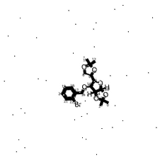 CC1(C)O[C@H]2O[C@H]([C@H]3COC(C)(C)O3)[C@H](OCc3ccccc3Br)[C@H]2O1